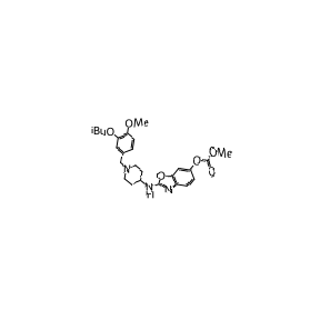 COC(=O)Oc1ccc2nc(NC3CCN(Cc4ccc(OC)c(OCC(C)C)c4)CC3)oc2c1